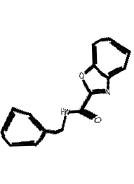 O=C(NCc1ccccc1)c1nc2ccccc2o1